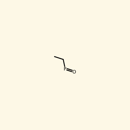 CCP=O